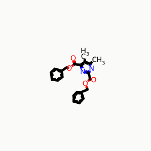 Cc1nc(C(=O)OCc2ccccc2)nc(C(=O)OCc2ccccc2)c1C